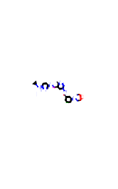 Cc1ncc(NC(=O)c2cc(F)cc(N3CCOCC3)c2)cc1C(=O)Nc1ccc(NC2CC2)nc1